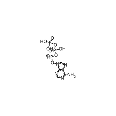 Nc1ncnc2c1ncn2O[PH](=O)OP(=O)(O)OP(=O)(O)O